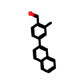 Cc1cc(-c2ccc3ccccc3c2)ccc1C=O